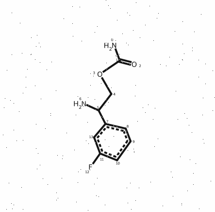 NC(=O)OCC(N)c1cccc(F)c1